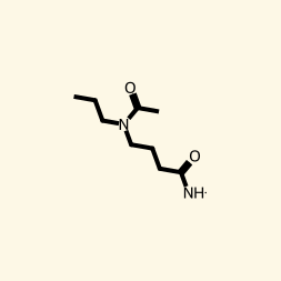 CCCN(CCCC([NH])=O)C(C)=O